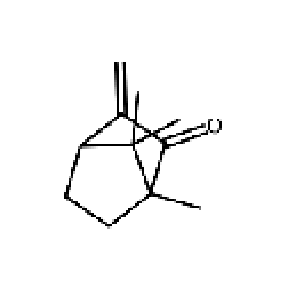 C=C1C(=O)C2(C)CCC1C2(C)C